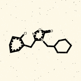 O=c1onc(Cc2ccccc2Cl)n1CC1CCCCC1